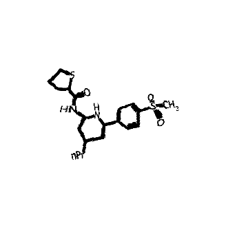 CCCC1CC(NC(=O)C2CCCS2)NC(c2ccc(S(C)(=O)=O)cc2)C1